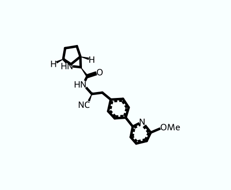 COc1cccc(-c2ccc(C[C@@H](C#N)NC(=O)[C@H]3N[C@@H]4CC[C@H]3C4)cc2)n1